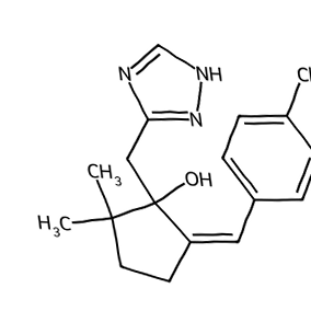 CC1(C)CCC(=Cc2ccc(Cl)cc2)C1(O)Cc1nc[nH]n1